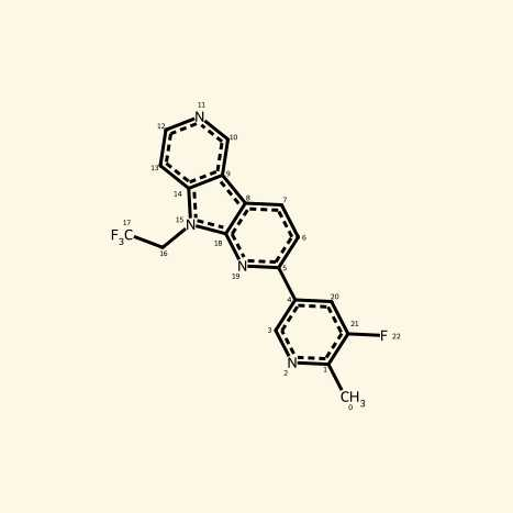 Cc1ncc(-c2ccc3c4cnccc4n(CC(F)(F)F)c3n2)cc1F